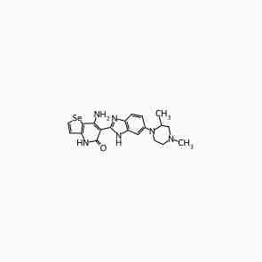 CC1CN(C)CCN1c1ccc2nc(-c3c(N)c4[se]ccc4[nH]c3=O)[nH]c2c1